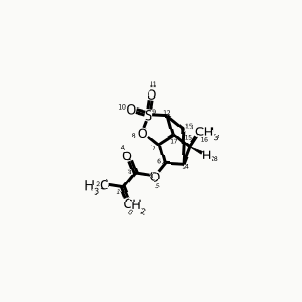 C=C(C)C(=O)OC1C2OS(=O)(=O)C3CC1[C@@H](C)C23